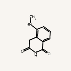 CNc1cccc2c1CC(=O)NC2=O